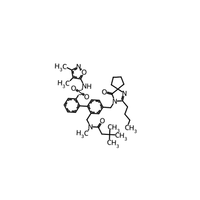 CCCCC1=NC2(CCCC2)C(=O)N1Cc1ccc(-c2ccccc2S(=O)(=O)Nc2onc(C)c2C)c(CN(C)C(=O)CC(C)(C)C)c1